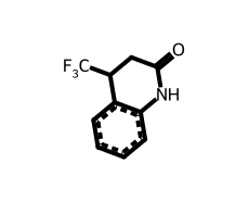 O=C1CC(C(F)(F)F)c2ccccc2N1